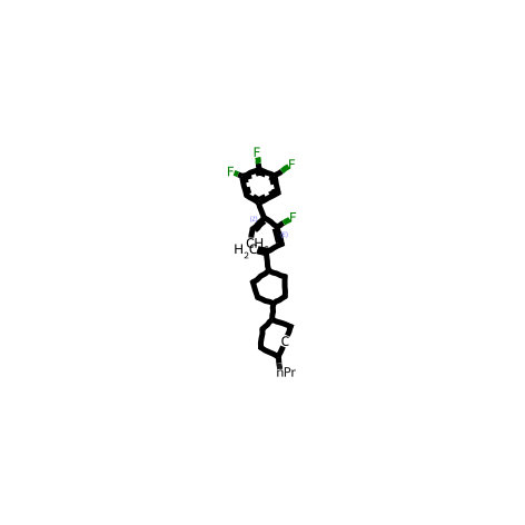 C=C(/C=C(F)\C(=C/C)c1cc(F)c(F)c(F)c1)C1CCC(C2CCC(CCC)CC2)CC1